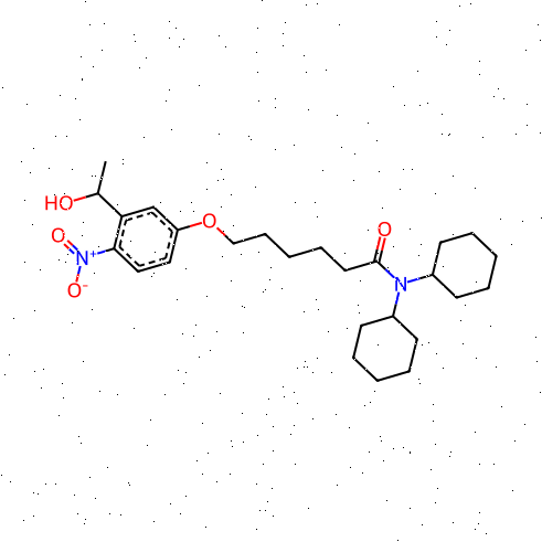 CC(O)c1cc(OCCCCCC(=O)N(C2CCCCC2)C2CCCCC2)ccc1[N+](=O)[O-]